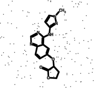 Cn1ccc(Nc2ncnc3ccc(OC4CCOC4=O)cc23)n1